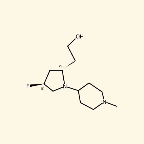 CN1CCC(N2C[C@@H](F)C[C@@H]2CCO)CC1